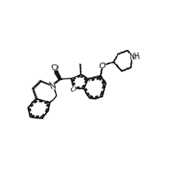 Cc1c(C(=O)N2CCc3ccccc3C2)oc2cccc(OC3CCNCC3)c12